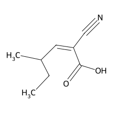 CCC(C)/C=C(/C#N)C(=O)O